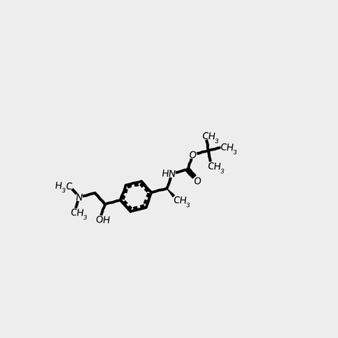 C[C@H](NC(=O)OC(C)(C)C)c1ccc(C(O)CN(C)C)cc1